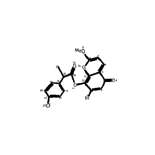 CCc1cc(=O)c2ccc(OC)oc-2c1OC(=O)C(C)c1ccc(Cl)cc1